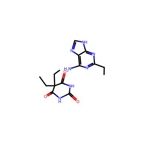 CCC1(CC)C(=O)NC(=O)NC1=O.CCc1nc(N)c2nc[nH]c2n1